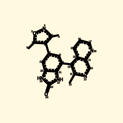 Cc1noc(C)c1-c1cc(-c2c(C)ncc3ncccc23)c2[nH]c(=O)[nH]c2c1